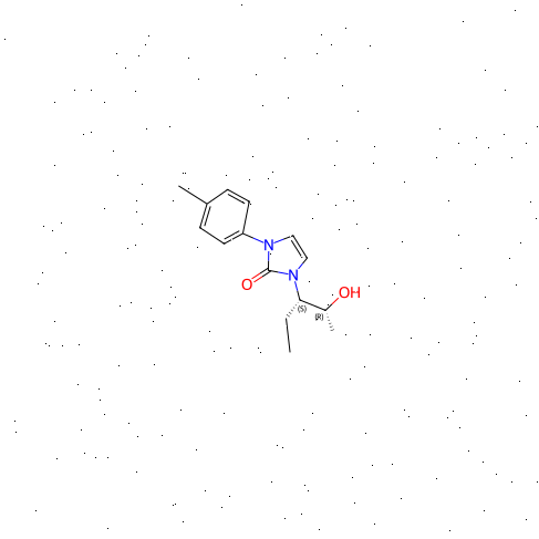 CC[C@@H]([C@@H](C)O)n1ccn(-c2ccc(C)cc2)c1=O